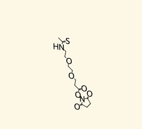 CC(=S)NCCOCCOCCC(=O)ON1C(=O)CCC1=O